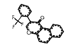 O=c1c(-c2ccccc2C(F)(F)F)coc2ccc3ccccc3c12